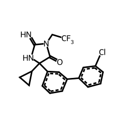 N=C1NC(c2cccc(-c3cccc(Cl)c3)c2)(C2CC2)C(=O)N1CC(F)(F)F